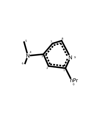 CCCc1cc(N(C)C)ccn1